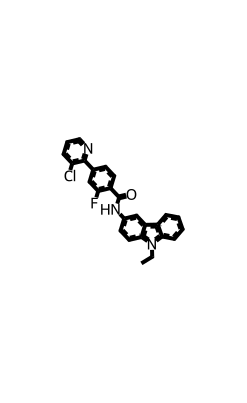 CCn1c2ccccc2c2cc(NC(=O)c3ccc(-c4ncccc4Cl)cc3F)ccc21